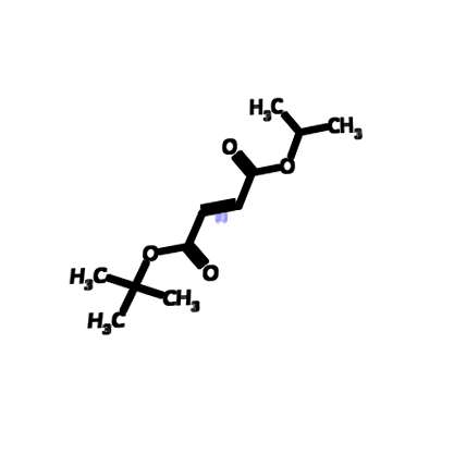 CC(C)OC(=O)/C=C/C(=O)OC(C)(C)C